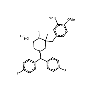 COc1ccc(CC2(C)CN(C(c3ccc(F)cc3)c3ccc(F)cc3)CCN2C)cc1OC.Cl.Cl